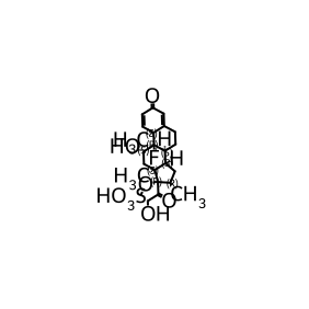 C[C@@H]1C[C@H]2[C@@H]3CCC4=CC(=O)C=C[C@]4(C)[C@@]3(F)[C@@H](O)C[C@]2(C)[C@@]1(OS(=O)(=O)O)C(=O)CO